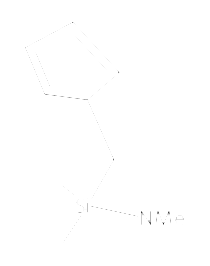 CN[Si](C)(C)CC1C=CC=C1